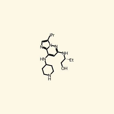 CC[C@H](CO)Nc1cc(NC2CCNCC2)c2ncc(C(C)C)n2n1